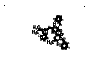 CC(C)C[C@@H](NC(=O)[C@@H](Cc1ccccc1)NC(=O)CNC[C@@H](c1ccccc1)C(C)C)C(=O)OCc1ccccc1